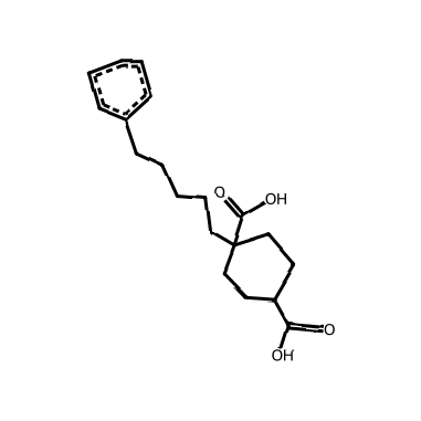 O=C(O)C1CCC(CCCCCc2ccccc2)(C(=O)O)CC1